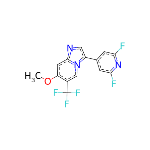 COc1cc2ncc(-c3cc(F)nc(F)c3)n2cc1C(F)(F)F